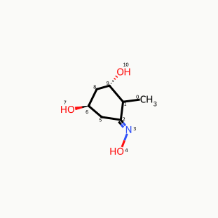 CC1/C(=N/O)C[C@@H](O)C[C@@H]1O